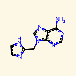 Nc1ncnc2c1ncn2Cc1ncc[nH]1